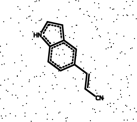 N#C/C=C/c1ccc2[nH]ccc2c1